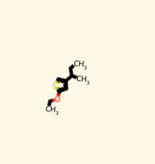 CCOc1cc(C(C)CC)cs1